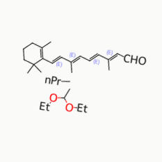 CC1=C(/C=C/C(C)=C/C=C/C(C)=C/C=O)C(C)(C)CCC1.CCCC.CCOC(C)OCC